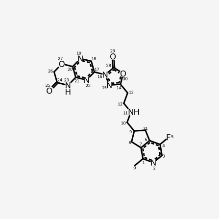 Cc1ncc(F)c2c1CC(CNCCc1nn(-c3cnc4c(n3)NC(=O)CO4)c(=O)o1)C2